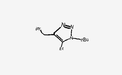 CCCCn1nnc(CC(C)C)c1CC